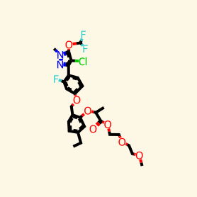 CCc1ccc(COc2ccc(-c3nn(C)c(OC(F)F)c3Cl)c(F)c2)c(OC(C)C(=O)OCCOCCOC)c1